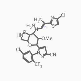 COC1C(c2cc(C#N)nn2-c2cc(Cl)ccc2C(F)(F)F)OC2CNOC2C1N(N)/C=C(\N)c1nc(Cl)cs1